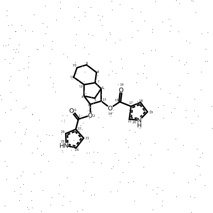 O=C(OC1C2CC(C3CCCCC32)C1OC(=O)c1cc[nH]c1)c1cc[nH]c1